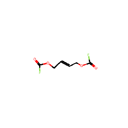 O=C(F)OCC=CCOC(=O)F